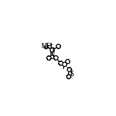 CCC(/C=C\N)C1C=C(C2=CC=CCC2)C=C(N2c3ccccc3C3=CC(C4=CC5C6=C(CCCC6)[C@@H](C6=CC=C7Sc8ccccc8C7C6)C(C)C5C=C4)CCC32)C1